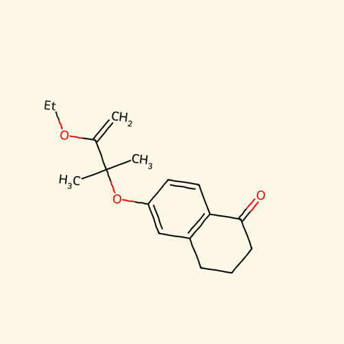 C=C(OCC)C(C)(C)Oc1ccc2c(c1)CCCC2=O